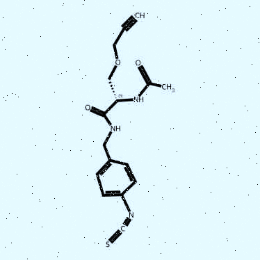 C#CCOC[C@H](NC(C)=O)C(=O)NCc1ccc(N=C=S)cc1